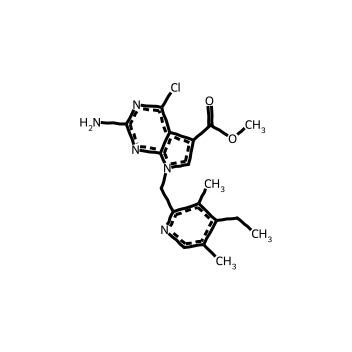 CCc1c(C)cnc(Cn2cc(C(=O)OC)c3c(Cl)nc(N)nc32)c1C